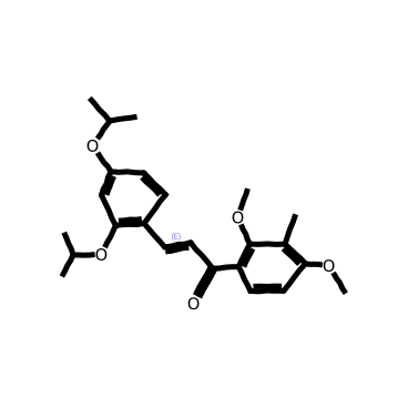 COc1ccc(C(=O)/C=C/c2ccc(OC(C)C)cc2OC(C)C)c(OC)c1C